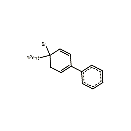 CCCCCC1(Br)C=CC(c2ccccc2)=CC1